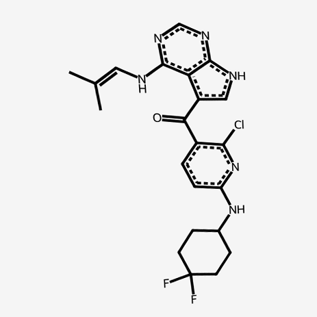 CC(C)=CNc1ncnc2[nH]cc(C(=O)c3ccc(NC4CCC(F)(F)CC4)nc3Cl)c12